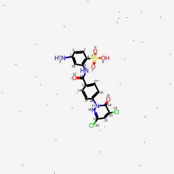 Nc1ccc(S(=O)(=O)O)c(NC(=O)c2ccc(-n3nc(Cl)cc(Cl)c3=O)cc2)c1